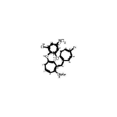 COC1=C(CC2=CCC=C(F)C=C2)C=C(Oc2c(Cl)cc([N+](=O)[O-])cc2Cl)CC=C1